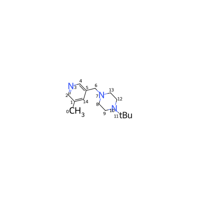 Cc1cncc(CN2CCN(C(C)(C)C)CC2)c1